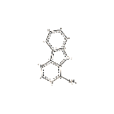 Nc1ncnc2c1oc1ccccc12